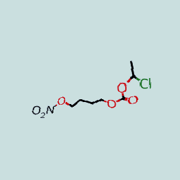 CC(Cl)OC(=O)OCCCCO[N+](=O)[O-]